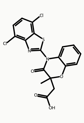 CC1(CC(=O)O)Oc2ccccc2N(c2nc3c(Cl)ccc(Cl)c3s2)C1=O